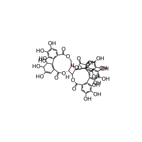 O=C1O[C@@H]([C@@H]2OC(=O)c3cc(O)c(O)c(O)c3-c3c(O)c(O)c(O)c4c3C(=O)O[C@H]2C4O)[C@H](OC(=O)c2cc(O)c(O)c(O)c2)COC(=O)c2cc(O)c(O)c(O)c2C2=C1C=C(O)C(O)C2O